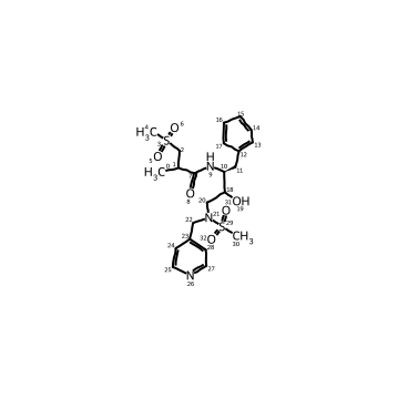 CC(CS(C)(=O)=O)C(=O)N[C@@H](Cc1ccccc1)C(O)CN(Cc1ccncc1)S(C)(=O)=O